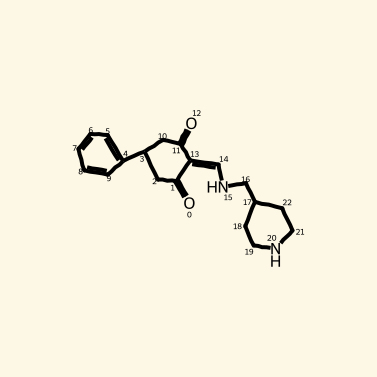 O=C1CC(c2ccccc2)CC(=O)C1=CNCC1CCNCC1